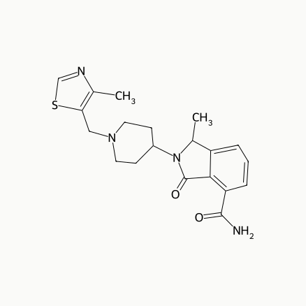 Cc1ncsc1CN1CCC(N2C(=O)c3c(C(N)=O)cccc3C2C)CC1